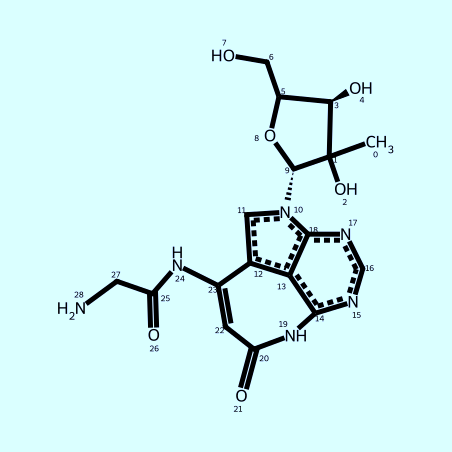 CC1(O)[C@H](O)C(CO)O[C@H]1n1cc2c3c(ncnc31)NC(=O)C=C2NC(=O)CN